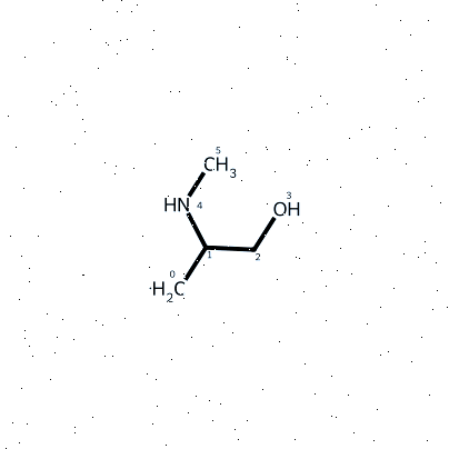 [CH2]C(CO)NC